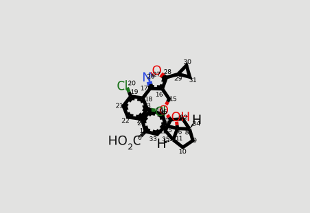 O=C(O)c1cccc(C2(O)[C@@H]3CC[C@H]2CC(OCc2c(-c4c(Cl)cccc4Cl)noc2C2CC2)C3)c1